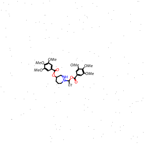 CCC(OC(=O)c1cc(OC)c(OC)c(OC)c1)N1CCCC(OC(=O)c2cc(OC)c(OC)c(OC)c2)CN1